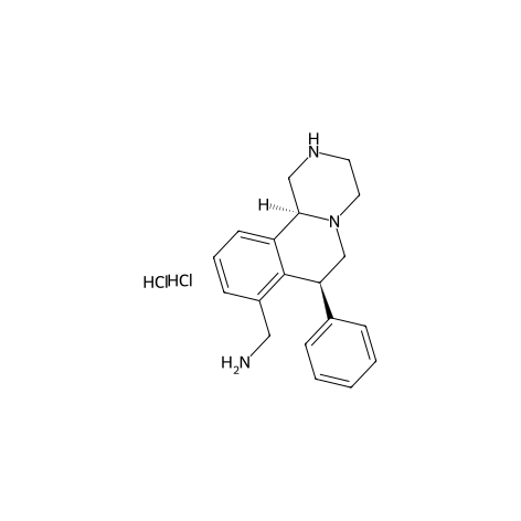 Cl.Cl.NCc1cccc2c1[C@H](c1ccccc1)CN1CCNC[C@H]21